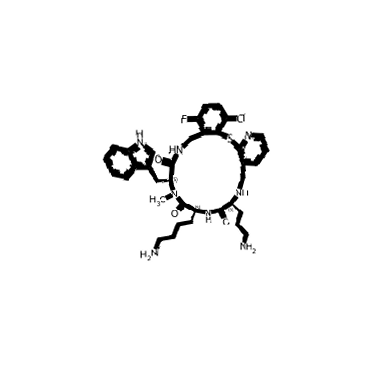 CN1C(=O)[C@H](CCCCN)NC(=O)[C@H](CCCN)NCc2cccnc2Sc2c(Cl)ccc(F)c2CNC(=O)[C@@H]1Cc1c[nH]c2ccccc12